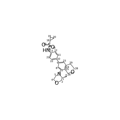 C[C@H]1COCCN1c1cc(-c2ccc(NS(=O)(=O)C3CC3)cc2)cc2c1COCC2